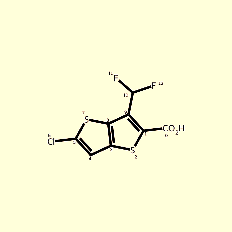 O=C(O)c1sc2cc(Cl)sc2c1C(F)F